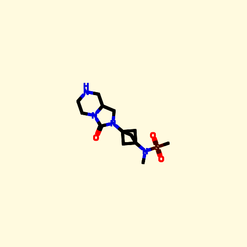 CN(C12CC(N3CC4CNCCN4C3=O)(C1)C2)S(C)(=O)=O